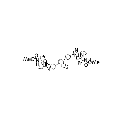 COC(=O)NC(C(=O)N1CCCC1c1nc2ccc(-c3ccc(-c4ccc(-c5cnc(C6CC7CC7N6C(=O)C(NC(=O)OC)C(C)C)[nH]5)cc4)c4c3CC3CCC43)cc2[nH]1)C(C)C